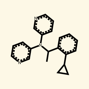 CC(c1ccccc1C1CC1)N(c1cccnc1)c1cccnc1